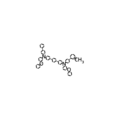 C[C@H]1C=CC=CC(c2ccc(N(c3ccc(-c4ccc(-c5ccc(N(c6ccc(-c7ccccc7)cc6)c6cccc(Oc7ccccc7)c6)cc5)cc4)cc3)c3cccc(Oc4ccccc4)c3)cc2)=C1